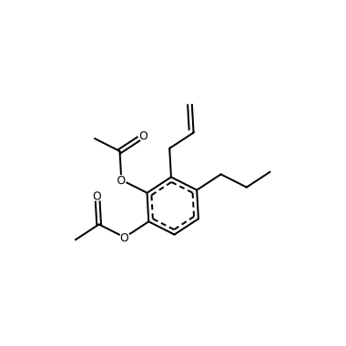 C=CCc1c(CCC)ccc(OC(C)=O)c1OC(C)=O